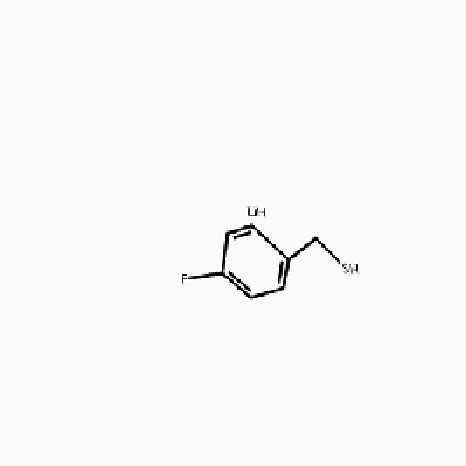 Fc1ccc(CS)cc1.[LiH]